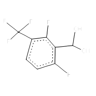 CC(C)c1c(F)ccc(C(F)(F)F)c1F